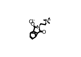 C[N+](C)(C)CCN1C(=O)C2C3C=CC(C3)C2C1=O.[Cl-]